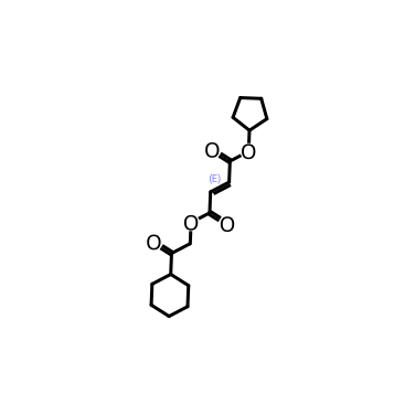 O=C(/C=C/C(=O)OC1CCCC1)OCC(=O)C1CCCCC1